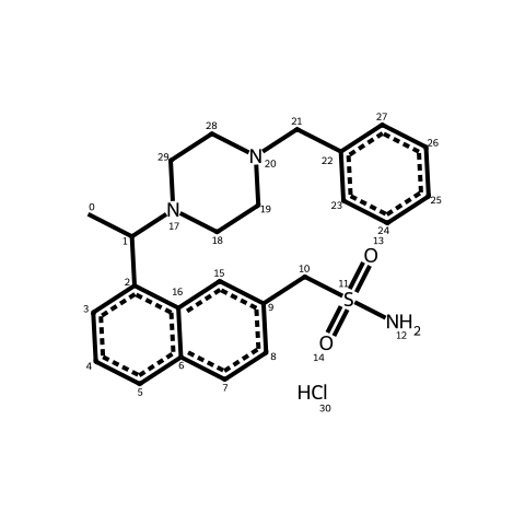 CC(c1cccc2ccc(CS(N)(=O)=O)cc12)N1CCN(Cc2ccccc2)CC1.Cl